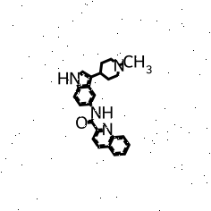 CN1CCC(c2c[nH]c3ccc(NC(=O)c4ccc5ccccc5n4)cc23)CC1